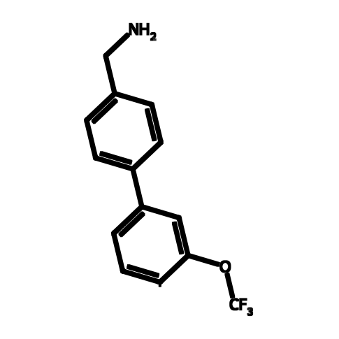 NCc1ccc(-c2cc[c]c(OC(F)(F)F)c2)cc1